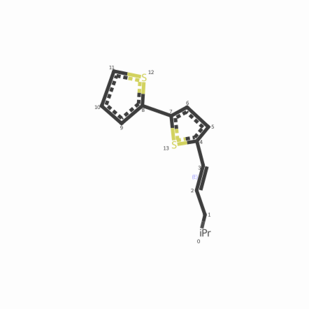 CC(C)C/C=C/c1ccc(-c2cccs2)s1